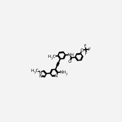 Cc1ccc(NC(=O)c2cccc(OC(F)(F)F)c2)cc1C#Cc1cc(-c2cnn(C)c2)cnc1N